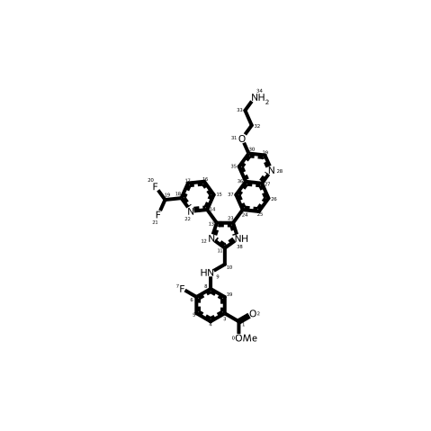 COC(=O)c1ccc(F)c(NCc2nc(-c3cccc(C(F)F)n3)c(-c3ccc4ncc(OCCN)cc4c3)[nH]2)c1